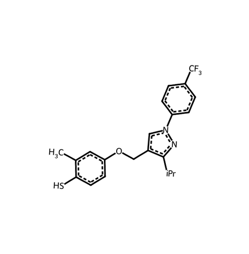 Cc1cc(OCc2cn(-c3ccc(C(F)(F)F)cc3)nc2C(C)C)ccc1S